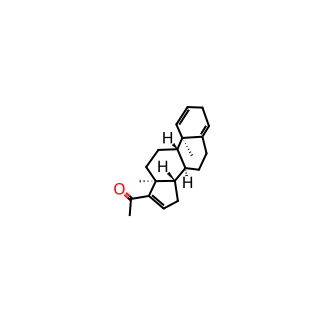 CC(=O)C1=CC[C@H]2[C@@H]3CCC4=CCC=C[C@]4(C)[C@H]3CC[C@]12C